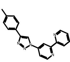 Cc1ccc(-c2cn(-c3ccnc(-c4ccccn4)c3)nn2)cc1